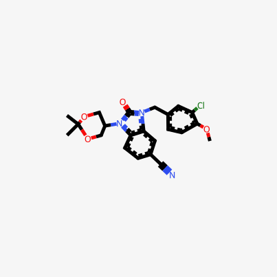 COc1ccc(Cn2c(=O)n(C3COC(C)(C)OC3)c3ccc(C#N)cc32)cc1Cl